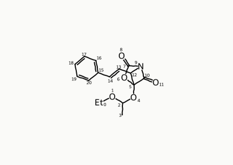 CCOC(C)OC12OC(=O)N(C1=O)C2C=Cc1ccccc1